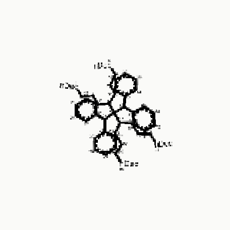 CCCCCCCCCCCCC[C](CCCCCCCCCCCCC)C([C](CCCCCCCCCCCCC)CCCCCCCCCCCCC)([C](c1ccccc1)c1ccccc1)[C](c1ccccc1)c1ccccc1